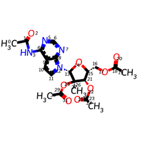 CC(=O)Nc1ncnc2c1ccn2[C@@H]1O[C@H](COC(C)=O)[C@@H](OC(C)=O)[C@@]1(C)OC(C)=O